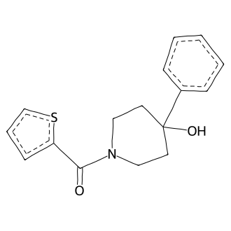 O=C(c1cccs1)N1CCC(O)(c2ccccc2)CC1